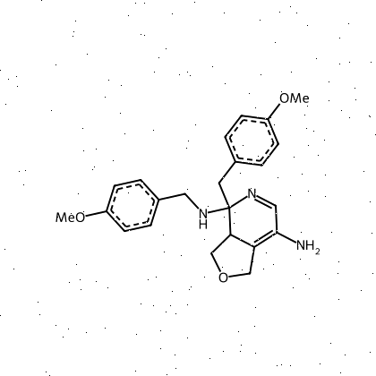 COc1ccc(CNC2(Cc3ccc(OC)cc3)N=CC(N)=C3COCC32)cc1